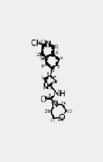 O=C(Nc1ncc(-c2ccc3cnc(Cl)cc3c2)s1)N1CCOCC1